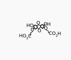 O=C(O)CCCOc1cc2c(cc1O)C(=O)c1cc(O)c(OCCCC(=O)O)cc1C2=O